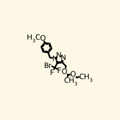 CCOC(C)OCc1nnn(Cc2ccc(OC)cc2)c1C(F)(F)Br